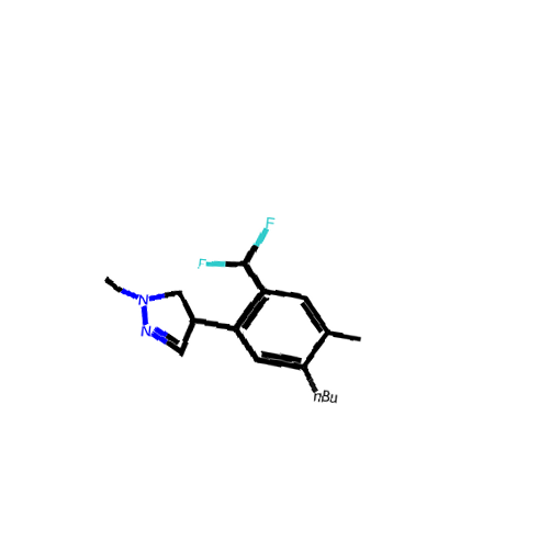 CCCCc1cc(C2C=NN(C)C2)c(C(F)F)cc1C